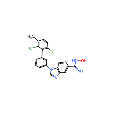 Cc1ccc(F)c(-c2cccc(-n3cnc4cc(C(=N)NO)ccc43)c2)c1Cl